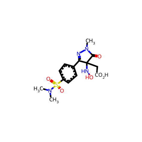 CN1N=C(c2ccc(S(=O)(=O)N(C)C)cc2)C(CC(=O)O)(NO)C1=O